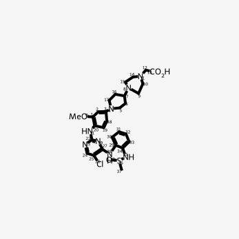 COc1cc(N2CCC(N3CCN(CC(=O)O)CC3)CC2)ccc1Nc1ncc(Cl)c(Nc2ccccc2N[S+](C)[O-])n1